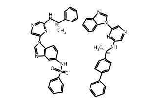 C[C@H](Nc1cncc(-n2cnc3cc(NS(=O)(=O)c4ccccc4)ccc32)n1)c1ccccc1.C[C@H](Nc1cncc(-n2cnc3ccccc32)n1)c1ccc(-c2ccccc2)cc1